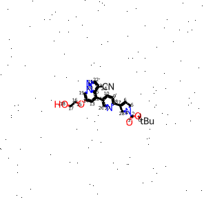 CC(C)(C)OC(=O)N1CC=C(c2ccc(-c3cc(OCCO)cn4ncc(C#N)c34)cn2)C1